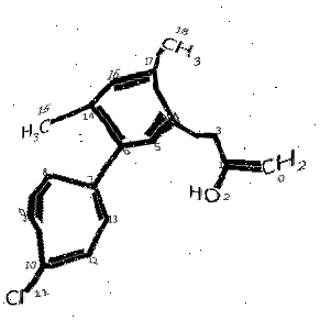 C=C(O)Cc1cc(-c2ccc(Cl)cc2)c(C)cc1C